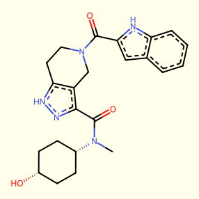 CN(C(=O)c1n[nH]c2c1CN(C(=O)c1cc3ccccc3[nH]1)CC2)[C@H]1CC[C@@H](O)CC1